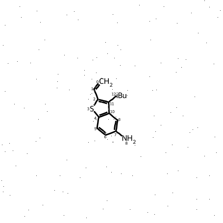 C=Cc1sc2ccc(N)cc2c1C(C)CC